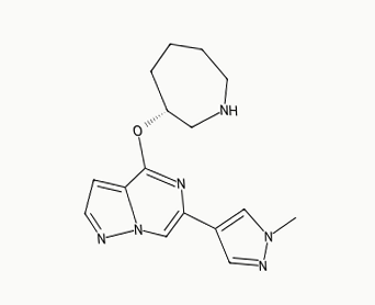 Cn1cc(-c2cn3nccc3c(O[C@@H]3CCCCNC3)n2)cn1